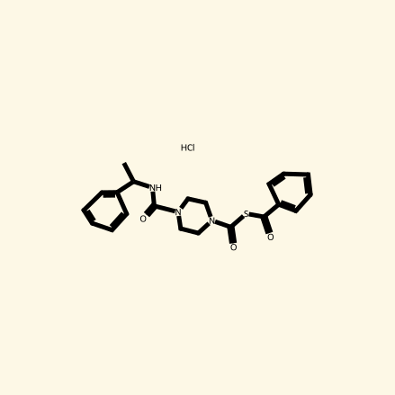 CC(NC(=O)N1CCN(C(=O)SC(=O)c2ccccc2)CC1)c1ccccc1.Cl